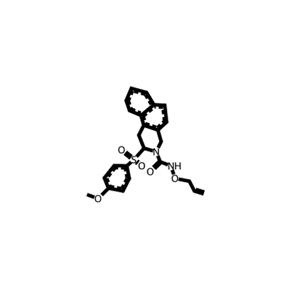 C=CCONC(=O)N1Cc2ccc3ccccc3c2CC1S(=O)(=O)c1ccc(OC)cc1